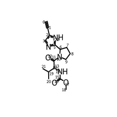 C#Cc1cnc(C2CCCN2C(=O)[C@@H](NC(=O)OC)C(C)C)[nH]1